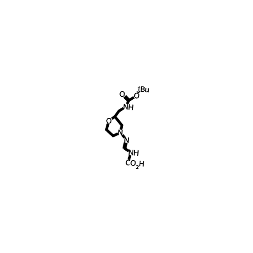 CC(C)(C)OC(=O)NCC1CN(/N=C/NC(=O)O)CCO1